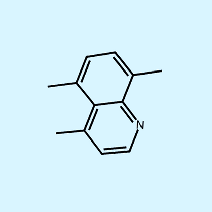 Cc1ccc(C)c2c(C)ccnc12